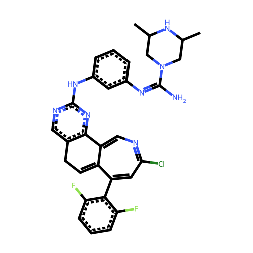 CC1CN(C(N)=Nc2cccc(Nc3ncc4c(n3)C3=CN=C(Cl)C=C(c5c(F)cccc5F)C3=CC4)c2)CC(C)N1